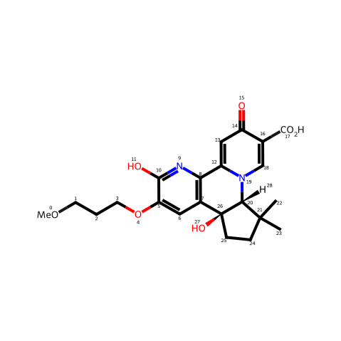 COCCCOc1cc2c(nc1O)-c1cc(=O)c(C(=O)O)cn1[C@@H]1C(C)(C)CC[C@]21O